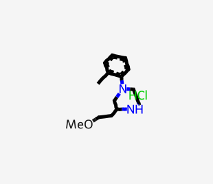 COCCC1CN(c2ccccc2C)CCN1.Cl